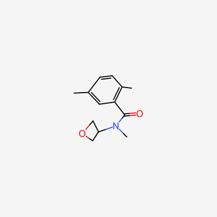 Cc1ccc(C)c(C(=O)N(C)C2COC2)c1